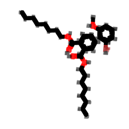 CCCCCCCCOC(=O)c1ccccc1C(=O)OCCCCCCCC.COc1cccc(Br)c1